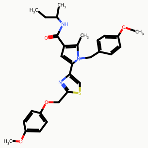 CCC(C)NC(=O)c1cc(-c2csc(COc3ccc(OC)cc3)n2)n(Cc2ccc(OC)cc2)c1C